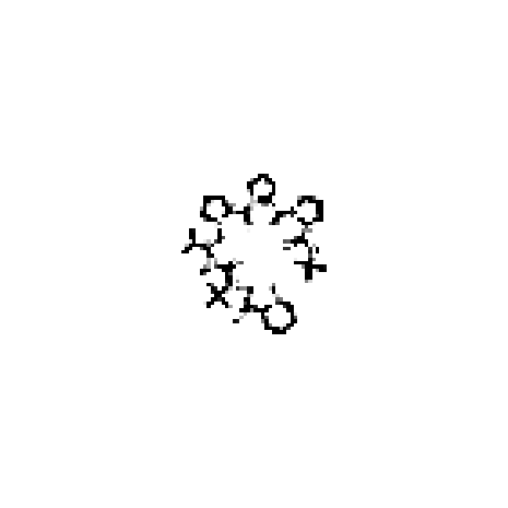 CC(C)[C@@H](CN1CCC[C@H]1C(=O)N1CCC[C@H]1C(=O)N1CCC[C@H]1C(=O)OC(C)(C)C)N(C)C(=O)[C@@H](NC(=O)C1CCCCN1C)C(C)(C)C